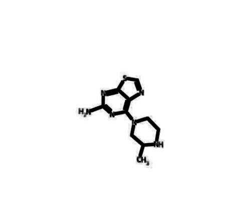 CC1CN(c2nc(N)nc3scnc23)CCN1